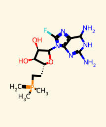 C=P(C)(C)CC[C@H]1OC(n2c(F)nc3c2N=C(N)NC3N)[C@H](O)[C@@H]1O